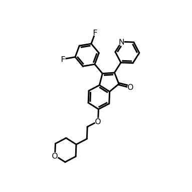 O=C1C(c2cccnc2)=C(c2cc(F)cc(F)c2)c2ccc(OCCC3CCOCC3)cc21